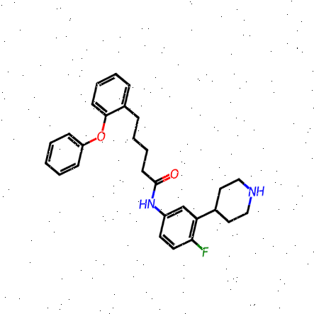 O=C(CCCCc1ccccc1Oc1ccccc1)Nc1ccc(F)c(C2CCNCC2)c1